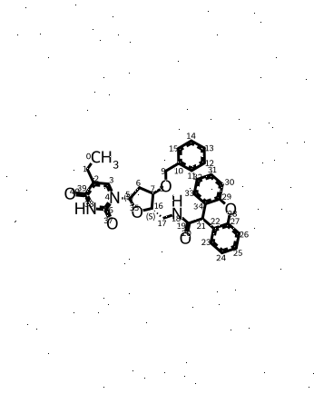 CCc1cn([C@@H]2CC(OCc3ccccc3)[C@H](CNC(=O)C3c4ccccc4Oc4ccccc43)O2)c(=O)[nH]c1=O